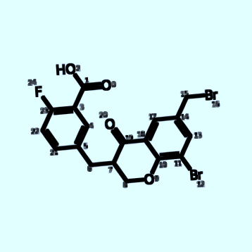 O=C(O)c1cc(CC2COc3c(Br)cc(CBr)cc3C2=O)ccc1F